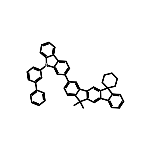 CC1(C)c2ccc(-c3ccc4c5ccccc5n(-c5cccc(-c6ccccc6)c5)c4c3)cc2-c2cc3c(cc21)-c1ccccc1C31CCCCC1